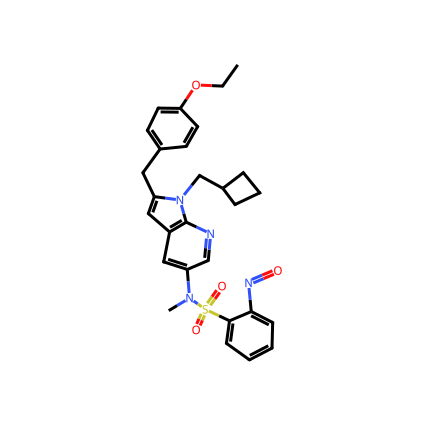 CCOc1ccc(Cc2cc3cc(N(C)S(=O)(=O)c4ccccc4N=O)cnc3n2CC2CCC2)cc1